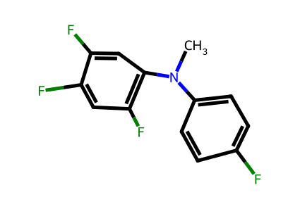 CN(c1ccc(F)cc1)c1cc(F)c(F)cc1F